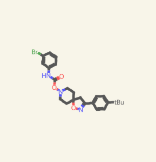 CC(C)(C)c1ccc(C2=NOC3(CCN(OC(=O)Nc4cccc(Br)c4)CC3)C2)cc1